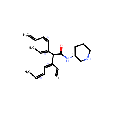 C=C/C=C\C(=C/C)C(C(=O)N[C@@H]1CCCNC1)/C(C=C)=C/C=C\C